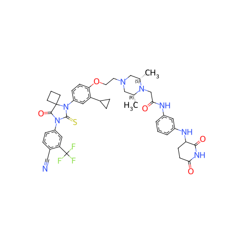 C[C@@H]1CN(CCOc2ccc(N3C(=S)N(c4ccc(C#N)c(C(F)(F)F)c4)C(=O)C34CCC4)cc2C2CC2)C[C@H](C)N1CC(=O)Nc1cccc(NC2CCC(=O)NC2=O)c1